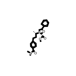 COC(=O)[C@H]1OC(c2ccccc2)CN1[C@@H](C)CCc1ccc(C(=O)N(C)C)cc1